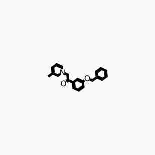 CC1=CC=CN(CC(=O)c2cccc(OCc3ccccc3)c2)C1